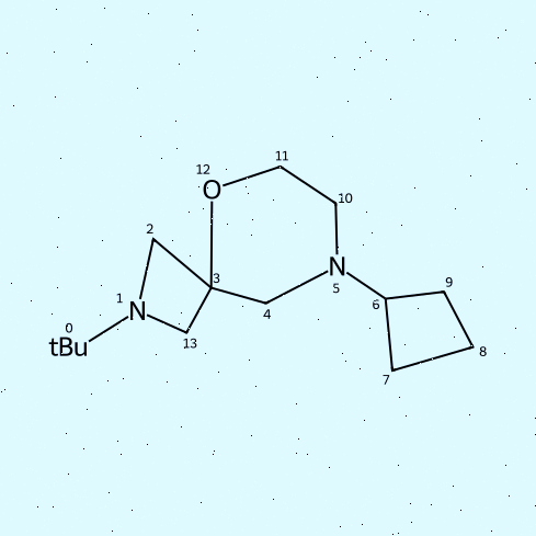 CC(C)(C)N1CC2(CN(C3CCC3)CCO2)C1